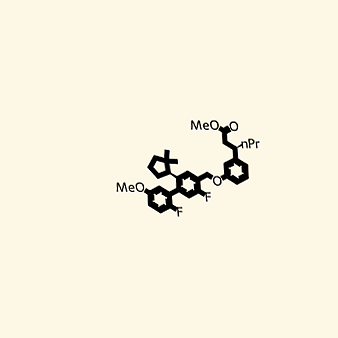 CCC[C@@H](CC(=O)OC)c1cccc(OCc2cc([C@H]3CCCC3(C)C)c(-c3cc(OC)ccc3F)cc2F)c1